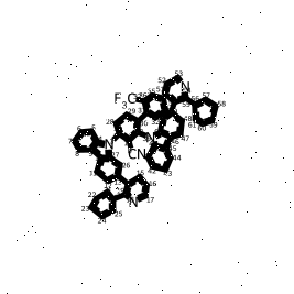 N#Cc1c(-n2c3ccccc3c3ccc(-c4cccnc4-c4ccccc4)cc32)ccc(-c2ccccc2C(F)(F)F)c1-n1c2ccccc2c2ccc(-c3cccnc3-c3ccccc3)cc21